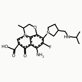 CC(C)NCC1CCN(c2c(F)c(N)c3c(=O)c(C(=O)O)cn4c3c2OCC4C)C1